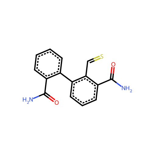 NC(=O)c1ccccc1-c1cccc(C(N)=O)c1C=S